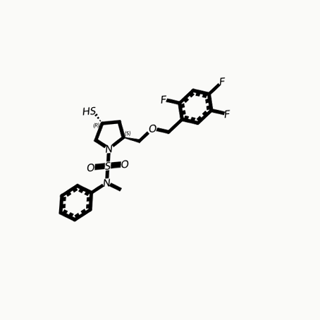 CN(c1ccccc1)S(=O)(=O)N1C[C@H](S)C[C@H]1COCc1cc(F)c(F)cc1F